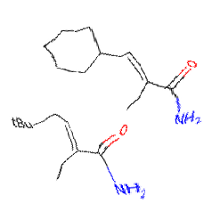 C/C(=C\C(C)(C)C)C(N)=O.C/C(=C\C1CCCCC1)C(N)=O